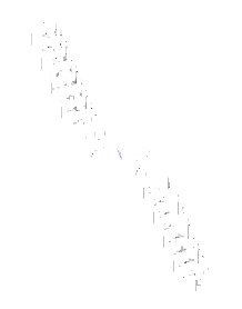 O=C(/C=C/C(=O)OCC(F)(F)C(F)(F)C(F)(F)C(F)(F)C(F)(F)C(F)(F)C(F)(F)C(F)(F)F)OCC(F)(F)C(F)(F)C(F)(F)C(F)(F)C(F)(F)C(F)(F)C(F)(F)C(F)(F)F